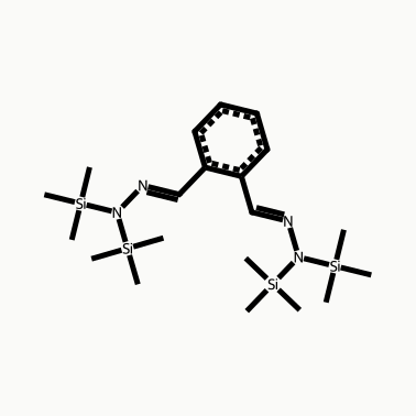 C[Si](C)(C)N(N=Cc1ccccc1C=NN([Si](C)(C)C)[Si](C)(C)C)[Si](C)(C)C